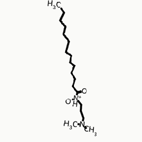 CCCCCCCCCCCCCC(=O)[NH+]([O-])CCCN(C)C